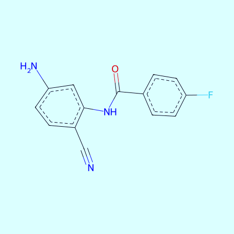 N#Cc1ccc(N)cc1NC(=O)c1ccc(F)cc1